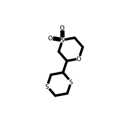 O=S1(=O)CCOC(C2CSCCS2)C1